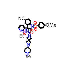 CCOc1ncccc1[C@@]1(NC(=O)N2CC3(C2)CN(C2CCN(C(C)C)CC2)C3)C(=O)N(S(=O)(=O)c2ccc(OC)cc2)c2ccc(C#N)cc21